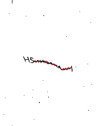 SCCCCCCCCCCCCCCCCCCCCCCCCCCI